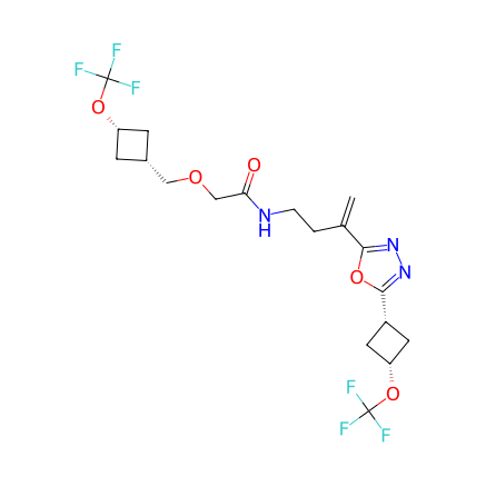 C=C(CCNC(=O)COC[C@H]1C[C@@H](OC(F)(F)F)C1)c1nnc([C@H]2C[C@@H](OC(F)(F)F)C2)o1